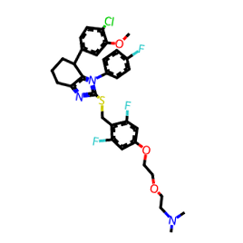 COc1cc(C2CCCc3nc(SCc4c(F)cc(OCCOCCN(C)C)cc4F)n(-c4ccc(F)cc4)c32)ccc1Cl